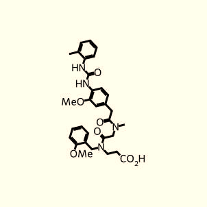 COc1ccccc1CN(CCC(=O)O)C(=O)CN(C)C(=O)Cc1ccc(NC(=O)Nc2ccccc2C)c(OC)c1